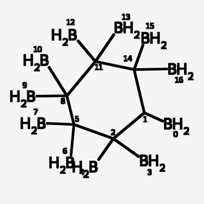 BC1C(B)(B)C(B)(B)C(B)(B)C(B)(B)C1(B)B